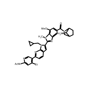 CCc1cc(NC(C)=O)ncc1-c1ccc2cc(-c3nc4cc(C(=O)N5CC6CCC5C6N)cc(OC)c4n3C)n(CC3CC3)c2n1